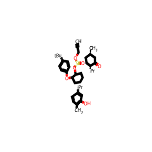 C#CCOS(=O)OC1CCCCC1Oc1ccc(C(C)(C)C)cc1.CC(C)[C@H]1CC[C@@H](C)CC1=O.Cc1ccc(C(C)C)cc1O